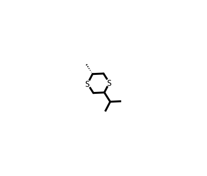 CC(C)C1CS[C@H](C)CS1